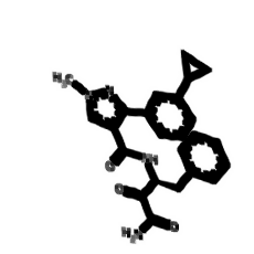 Cn1cc(C(=O)N[C@@H](Cc2ccccc2)C(=O)C(N)=O)c(-c2cccc(C3CC3)c2)n1